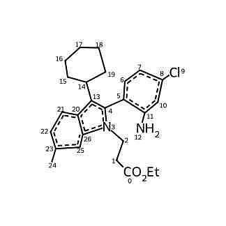 CCOC(=O)CCn1c(-c2ccc(Cl)cc2N)c(C2CCCCC2)c2ccc(C)cc21